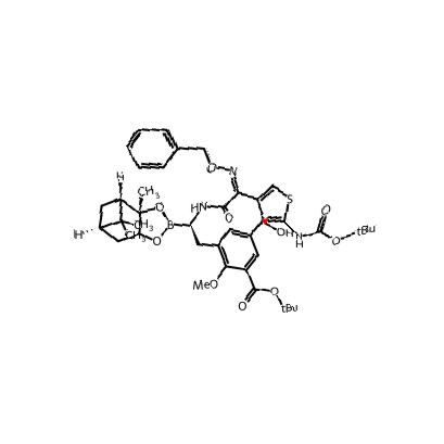 COc1c(C[C@H](NC(=O)/C(=N\OCc2ccccc2)c2csc(NC(=O)OC(C)(C)C)n2)B2OC3C[C@H]4C[C@@H](C4(C)C)[C@]3(C)O2)cc(CO)cc1C(=O)OC(C)(C)C